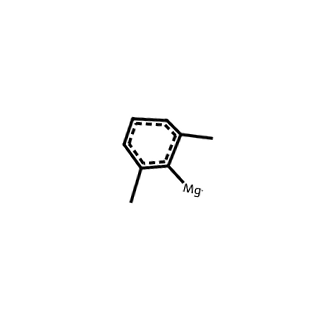 Cc1cccc(C)[c]1[Mg]